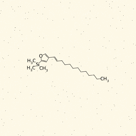 CCCCCCCCCCCC=Cc1coc([Si](C)(C)C)c1